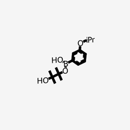 CC(C)Oc1cccc(B(O)OC(C)(C)C(C)(C)O)c1